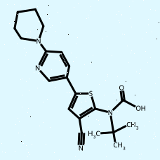 CC(C)(C)N(C(=O)O)c1sc(-c2ccc(N3CCCCC3)nc2)cc1C#N